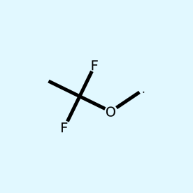 [CH2]OC(C)(F)F